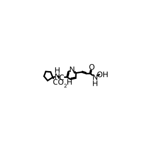 O=C(/C=C/c1ccc(CNC2(C(=O)O)CCCC2)cn1)NO